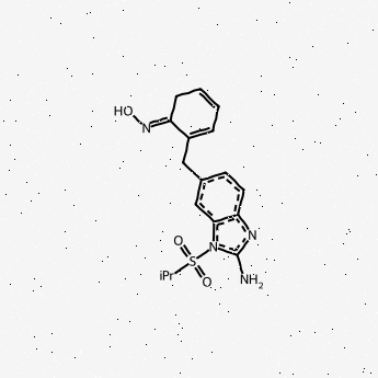 CC(C)S(=O)(=O)n1c(N)nc2ccc(CC3=CC=CCC3=NO)cc21